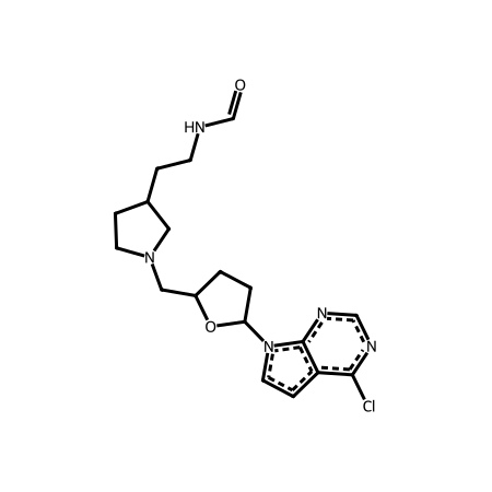 O=CNCCC1CCN(CC2CCC(n3ccc4c(Cl)ncnc43)O2)C1